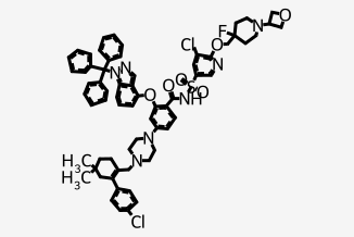 CC1(C)CCC(CN2CCN(c3ccc(C(=O)NS(=O)(=O)c4cnc(OCC5(F)CCN(C6COC6)CC5)c(Cl)c4)c(Oc4cccc5c4cnn5C(c4ccccc4)(c4ccccc4)c4ccccc4)c3)CC2)=C(c2ccc(Cl)cc2)C1